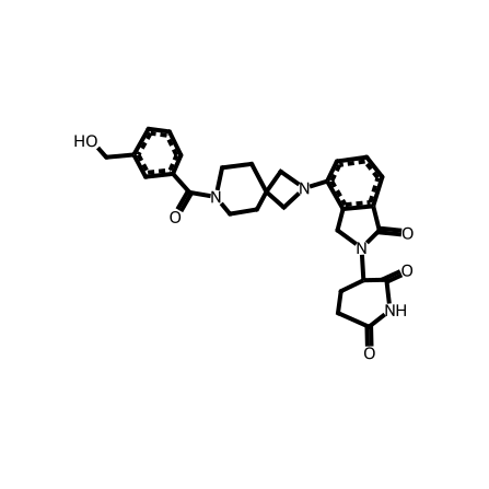 O=C1CCC(N2Cc3c(cccc3N3CC4(CCN(C(=O)c5cccc(CO)c5)CC4)C3)C2=O)C(=O)N1